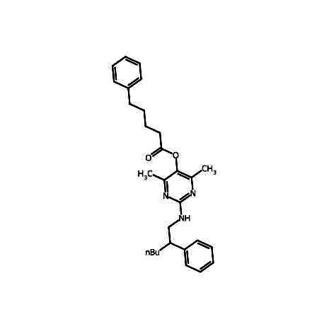 CCCCC(CNc1nc(C)c(OC(=O)CCCCc2ccccc2)c(C)n1)c1ccccc1